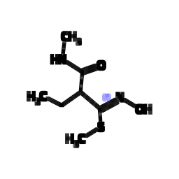 CCC(C(=O)NC)/C(=N/O)SC